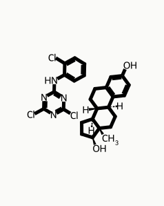 C[C@]12CC[C@@H]3c4ccc(O)cc4CC[C@H]3[C@@H]1CC[C@@H]2O.Clc1nc(Cl)nc(Nc2ccccc2Cl)n1